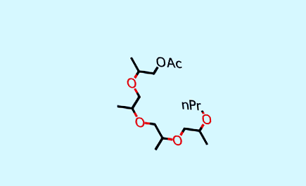 CCCOC(C)COC(C)COC(C)COC(C)COC(C)=O